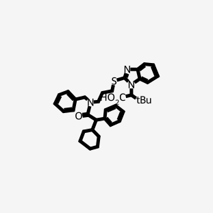 CC(C)(C)C(C(=O)O)n1c(SCCCN(Cc2ccccc2)C(=O)C(c2ccccc2)C2CCCCC2)nc2ccccc21